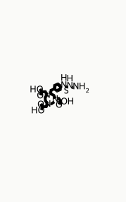 NCNC(=S)Nc1ccc(CC2CN(CC(=O)O)CCN(CC(=O)O)CCN2CC(=O)O)cc1